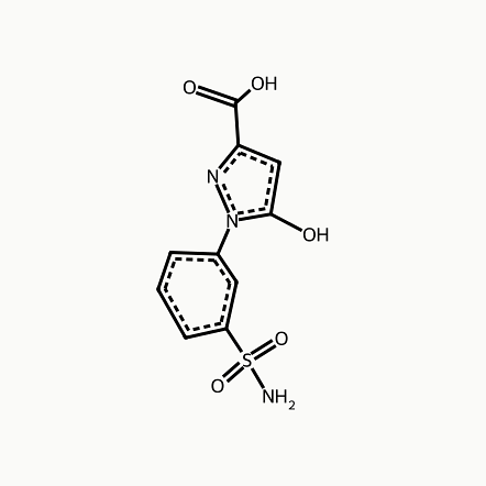 NS(=O)(=O)c1cccc(-n2nc(C(=O)O)cc2O)c1